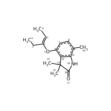 CC=C(CC)Oc1ccc(C)c2c1C(C)(C)C(=O)N2